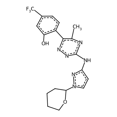 Cc1nc(Nc2ccn(C3CCCCO3)n2)nnc1-c1ccc(C(F)(F)F)cc1O